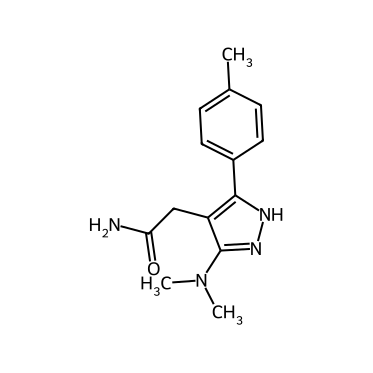 Cc1ccc(-c2[nH]nc(N(C)C)c2CC(N)=O)cc1